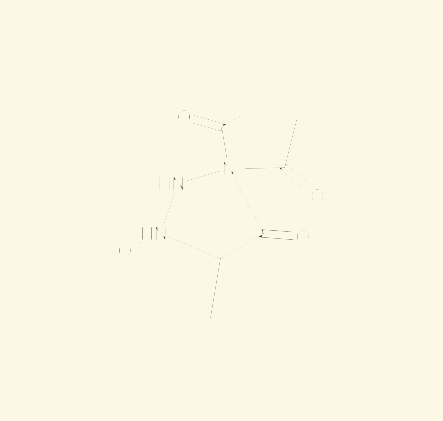 CC(=O)[N+]1(C(C)=O)N[NH+]([O-])C(C)C1=O